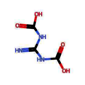 N=C(NC(=O)O)NC(=O)O